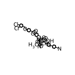 Cc1noc(C)c1S(=O)(=O)N1Cc2cc3c(cc2C[C@H]1C(=O)N[C@@H](Cc1ccc(-c2ccc(C#N)cc2)cc1)C(=O)O)OCC(c1ccc(OCc2ccc(Cl)c(Cl)c2)cc1)O3